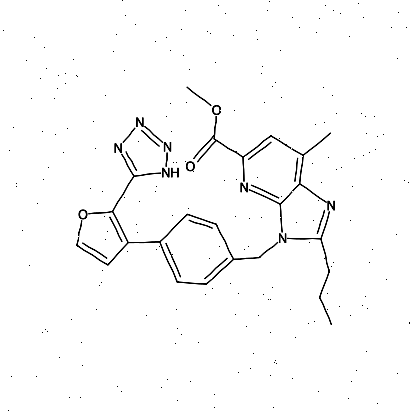 CCCc1nc2c(C)cc(C(=O)OC)nc2n1Cc1ccc(-c2ccoc2-c2nnn[nH]2)cc1